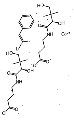 CC(C)(CO)[C@@H](O)C(=O)NCCCC(=O)[O-].CC(C)(CO)[C@@H](O)C(=O)NCCCC(=O)[O-].[Ca+2].[Li]/[C](C)=C/c1ccccc1